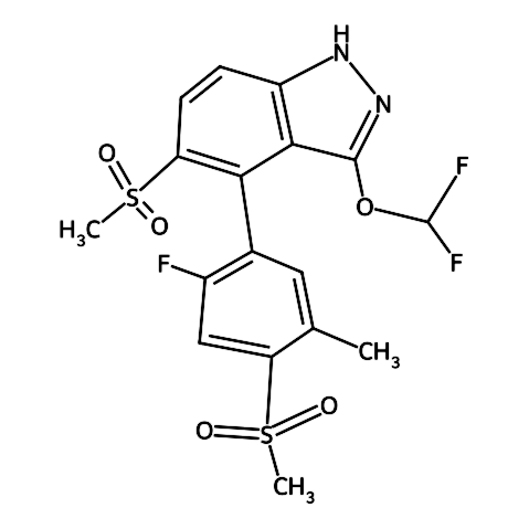 Cc1cc(-c2c(S(C)(=O)=O)ccc3[nH]nc(OC(F)F)c23)c(F)cc1S(C)(=O)=O